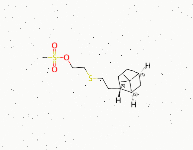 CC1(C)[C@H]2CC[C@@H](CCSCCOS(C)(=O)=O)[C@@H]1C2